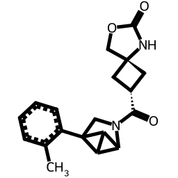 Cc1ccccc1C12CN(C(=O)[C@H]3C[C@]4(COC(=O)N4)C3)C3C1C32